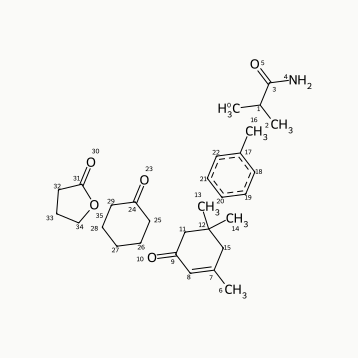 CC(C)C(N)=O.CC1=CC(=O)CC(C)(C)C1.Cc1ccccc1.O=C1CCCCC1.O=C1CCCO1